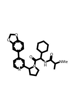 CNC(C)C(=O)NC(C(=O)N1CCCC1c1cc(-c2ccc3c(c2)OCO3)ccn1)C1CCCCC1